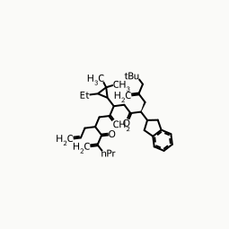 C=CCC(CC(=C)C(CC(=O)[C@@H](CC(=C)CC(C)(C)C)C1Cc2ccccc2C1)C1C(CC)C1(C)C)C(=O)C(=C)CCC